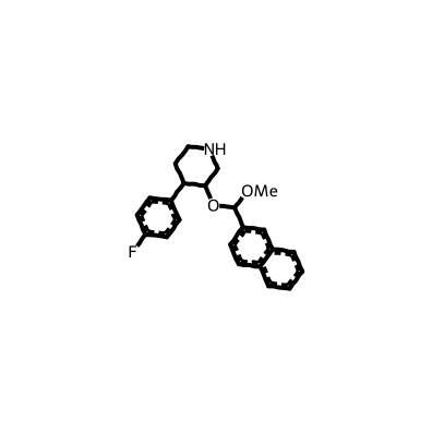 COC(OC1CNCCC1c1ccc(F)cc1)c1ccc2ccccc2c1